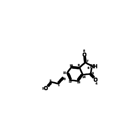 C=CC=O.O=C1NC(=O)c2ccccc21